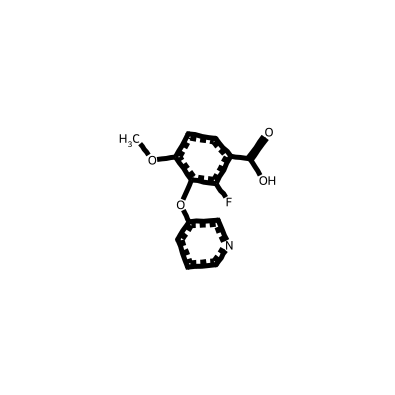 COc1ccc(C(=O)O)c(F)c1Oc1cccnc1